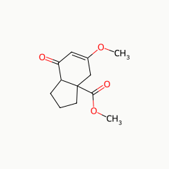 COC(=O)C12CCCC1C(=O)C=C(OC)C2